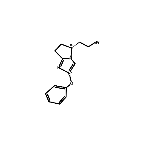 CC(C)CC[C@H]1CCc2n[n+](Oc3ccccc3)cn21